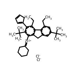 CCc1cc(C(C)(C)C)cc2c1-c1c([c]([Zr+2]=[C]3CCCCC3)c(C(C)(C)C)c(C3=CC=CC3)c1CC)C2.[Cl-].[Cl-]